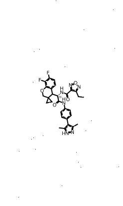 CCc1nonc1C(=O)N[C@H](C(=O)Nc1ccc(-c2c(C)n[nH]c2C)cc1)C1c2ccc(F)c(F)c2OCC12CC2